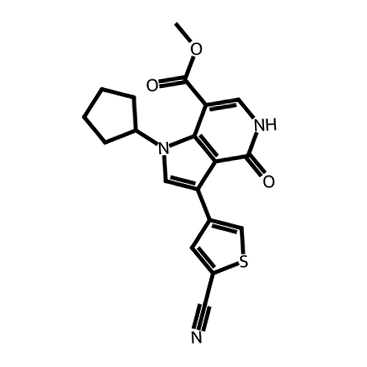 COC(=O)c1c[nH]c(=O)c2c(-c3csc(C#N)c3)cn(C3CCCC3)c12